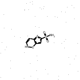 NS(=O)(=O)c1cc2c(s1)C=CNS2